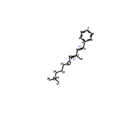 CC(/C=C/c1ccccc1)=N\OCCCN(C)C